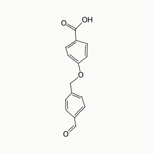 O=Cc1ccc(COc2ccc(C(=O)O)cc2)cc1